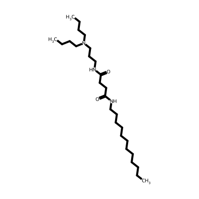 CCCCCCCCCCCCNC(=O)CCC(=O)NCCCN(CCCC)CCCC